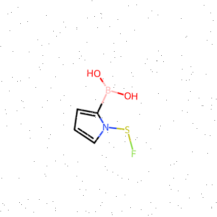 OB(O)c1cccn1SF